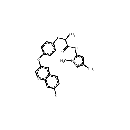 Cc1cc(NC(=O)C(C)Oc2ccc(Oc3cnc4cc(Cl)ccc4n3)cc2)n(C)n1